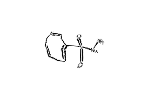 CCCNS(=O)(=O)c1cccnc1